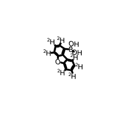 [2H]c1c([2H])c([2H])c2c(oc3c([2H])c([2H])c([2H])c(B(O)O)c32)c1[2H]